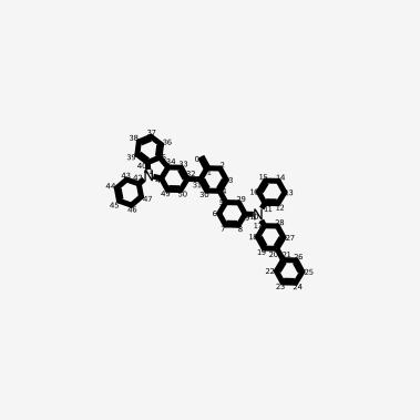 C=C1CC=C(C2CC=CC(N(C3=CCCC=C3)C3C=CC(c4ccccc4)=CC3)C2)C=C1C1=CC2c3ccccc3N(C3CC=CCC3)C2C=C1